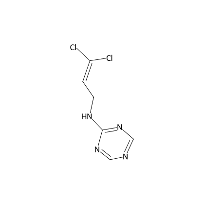 ClC(Cl)=CCNc1ncncn1